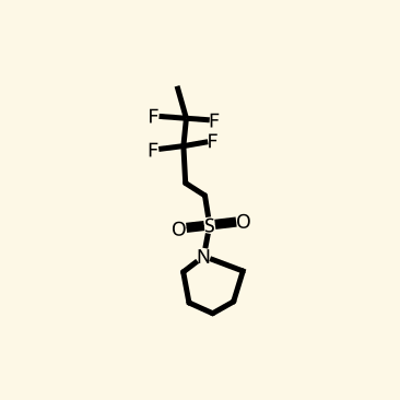 CC(F)(F)C(F)(F)CCS(=O)(=O)N1CCCCC1